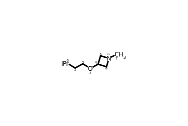 CC(C)CCOC1CN(C)C1